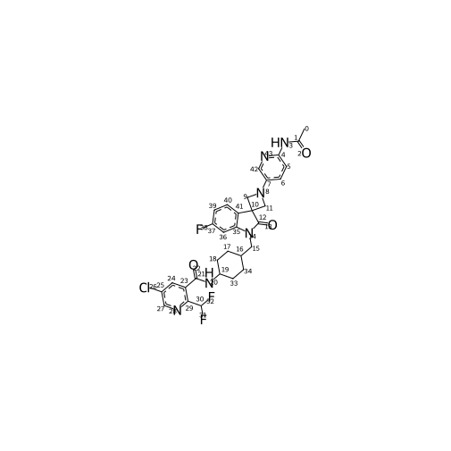 CC(=O)Nc1ccc(N2CC3(C2)C(=O)N(CC2CCC(NC(=O)c4cc(Cl)cnc4C(F)F)CC2)c2cc(F)ccc23)cn1